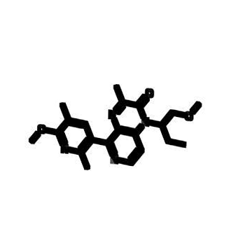 CCC(COC)n1c(=O)c(C)nc2c(-c3cc(C)c(OC)nc3C)nccc21